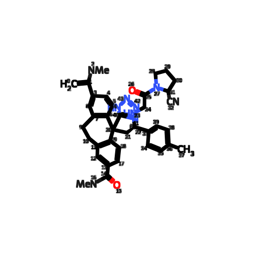 C=C(NC)c1ccc2c(c1)CCc1cc(C(=O)NC)ccc1C2(C[C@@H](NCC(=O)N1CCCC1C#N)c1ccc(C)cc1)c1nnn[nH]1